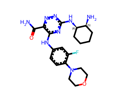 NC(=O)c1nnc(N[C@@H]2CCCC[C@@H]2N)nc1Nc1ccc(N2CCOCC2)c(F)c1